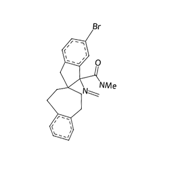 C=NC1(C(=O)NC)c2cc(Br)ccc2CC12CCc1ccccc1CC2